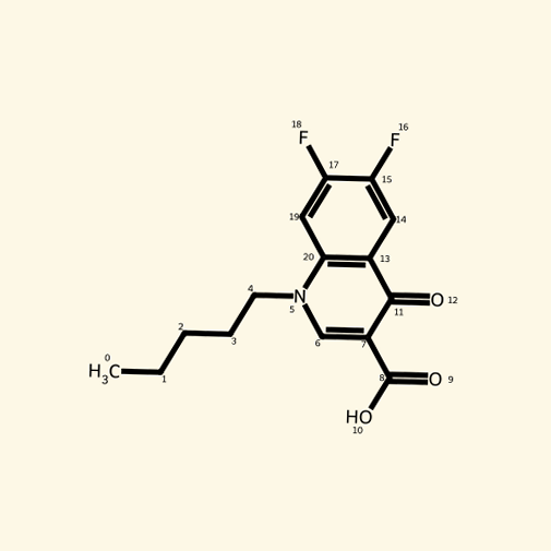 CCCCCn1cc(C(=O)O)c(=O)c2cc(F)c(F)cc21